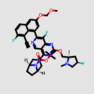 C#Cc1c(F)ccc2cc(OCOC)cc(-c3ncc4c(N5C[C@H]6CC[C@@H](C5)N6C(=O)OC(C)(C)C)nc(OC[C@@]5(C)C[C@@H](F)CN5C)nc4c3F)c12